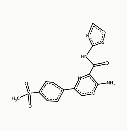 CS(=O)(=O)c1ccc(-c2cnc(N)c(C(=O)Nc3ncns3)n2)cc1